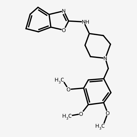 COc1cc(CN2CCC(Nc3nc4ccccc4o3)CC2)cc(OC)c1OC